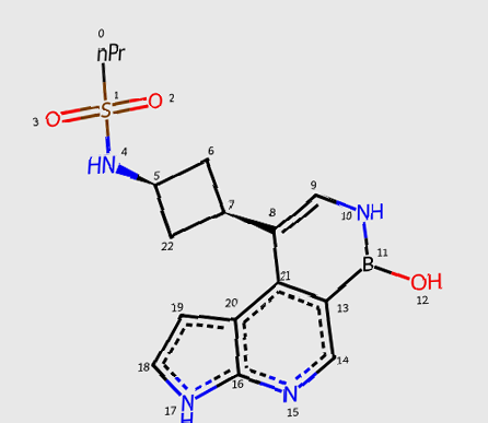 CCCS(=O)(=O)N[C@H]1C[C@@H](C2=CNB(O)c3cnc4[nH]ccc4c32)C1